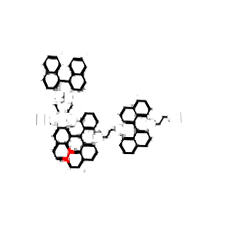 OCCOc1ccc2ccccc2c1-c1c(OCCOc2ccc3ccccc3c2C(c2ccccc2)c2c(OCCOc3ccc4ccccc4c3-c3c(OCCO)ccc4ccccc34)ccc3ccccc23)ccc2ccccc12